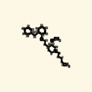 CCCCCN1CCC(CCOc2ccccc2Cc2ccccc2)[C@H](OC)C1